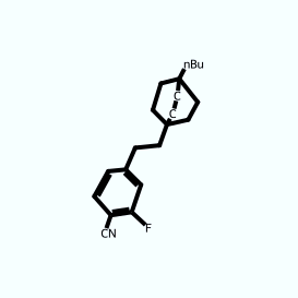 CCCCC12CCC(CCc3ccc(C#N)c(F)c3)(CC1)CC2